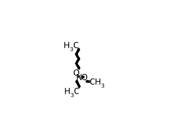 CCCCCCON(CCC)OCC